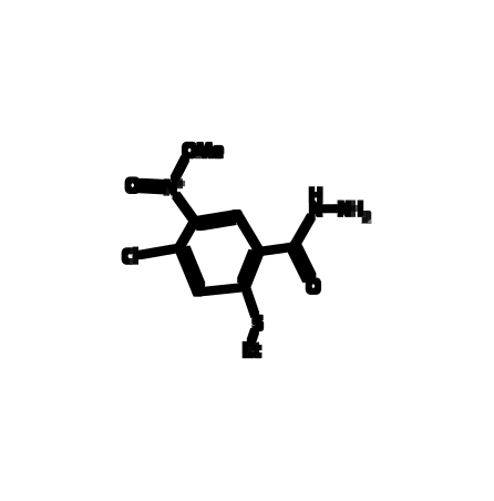 CCSc1cc(Cl)c([N+](=O)OC)cc1C(=O)NN